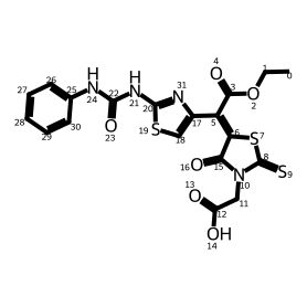 CCOC(=O)/C(=C1\SC(=S)N(CC(=O)O)C1=O)c1csc(NC(=O)Nc2ccccc2)n1